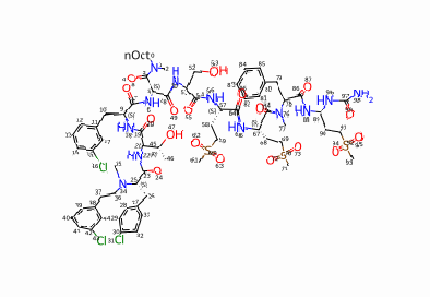 CCCCCCCCN(C)C(=O)[C@@H](NC(=O)[C@H](Cc1cccc(Cl)c1)NC(=O)C(NC(=O)[C@H](Cc1ccc(Cl)cc1)N(C)CCc1cccc(Cl)c1)[C@@H](C)O)C(=O)NC(CO)C(=O)N[C@@H](CCS(C)(=O)=O)C(=O)N[C@@H](CCS(C)(=O)=O)C(=O)N(C)C(Cc1ccccc1)C(=O)NC(CCS(C)(=O)=O)NC(N)=O